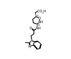 Cc1nc2ccccc2n1CCC(=O)N[C@@H]1BO[C@H](CC(=O)O)CC1